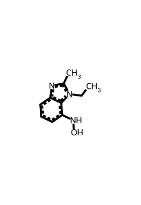 CCn1c(C)nc2cccc(NO)c21